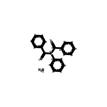 O.O=C(c1ccccc1)P(C(=O)c1ccccc1)c1ccccc1